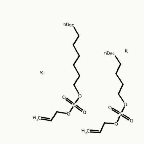 C=CCOS(=O)(=O)OCCCCCCCCCCCCCC.C=CCOS(=O)(=O)OCCCCCCCCCCCCCCCC.[K].[K]